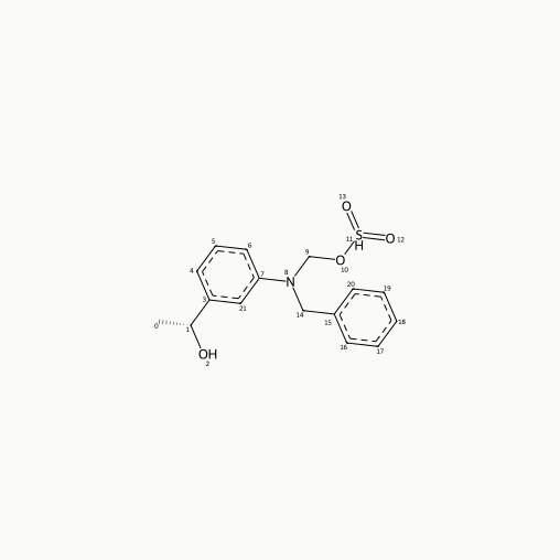 C[C@@H](O)c1cccc(N(CO[SH](=O)=O)Cc2ccccc2)c1